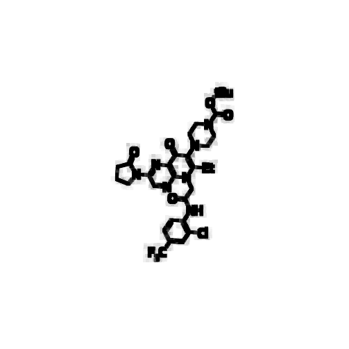 CCc1c(N2CCN(C(=O)OC(C)(C)C)CC2)c(=O)c2nc(N3CCCC3=O)cnc2n1CC(=O)Nc1ccc(C(F)(F)F)cc1Cl